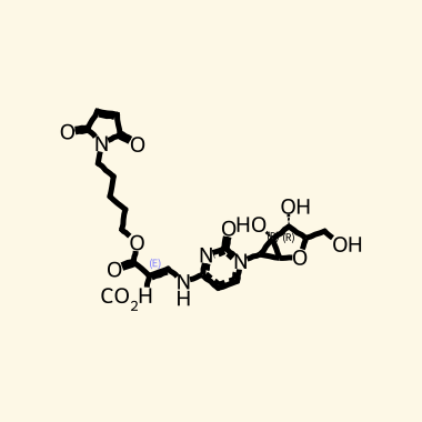 O=C(O)/C(=C\Nc1ccn(C2C3OC(CO)[C@@H](O)[C@@]32O)c(=O)n1)C(=O)OCCCCCN1C(=O)C=CC1=O